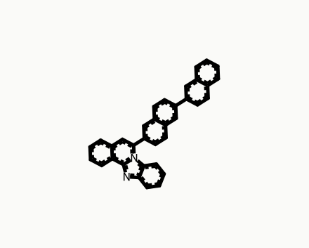 c1ccc2cc(-c3ccc4cc(-c5cc6ccccc6c6nc7ccccc7n56)ccc4c3)ccc2c1